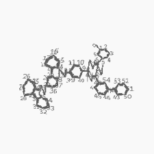 Cc1cccc(-c2nc(-c3ccc(-n4c5ccccc5c5cc(-n6c7ccccc7c7ccccc76)ccc54)cc3)nc(-c3cccc(-c4ccccc4)c3)n2)c1